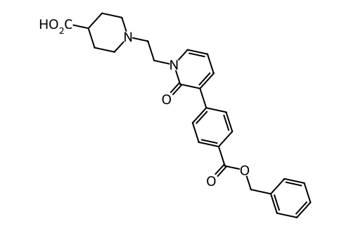 O=C(OCc1ccccc1)c1ccc(-c2cccn(CCN3CCC(C(=O)O)CC3)c2=O)cc1